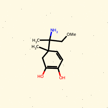 COCC(C)(N)C1(C)C=CC(O)=C(O)C1